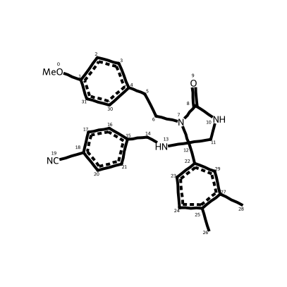 COc1ccc(CCN2C(=O)NCC2(NCc2ccc(C#N)cc2)c2ccc(C)c(C)c2)cc1